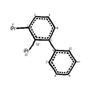 CC(C)c1cccc(-c2ccccc2)c1C(C)C